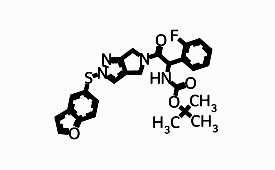 CC(C)(C)OC(=O)NC(C(=O)N1Cc2cn(Sc3ccc4occc4c3)nc2C1)c1ccccc1F